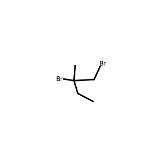 CCC(C)(Br)CBr